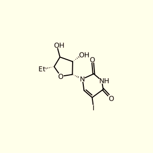 CC[C@H]1O[C@@H](n2cc(I)c(=O)[nH]c2=O)[C@@H](O)C1O